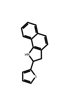 c1csc([C]2Cc3ccc4ccccc4c3N2)c1